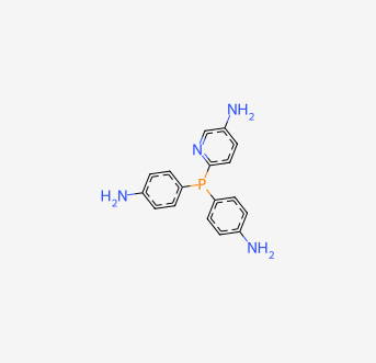 Nc1ccc(P(c2ccc(N)cc2)c2ccc(N)cn2)cc1